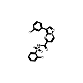 O=C(NS(=O)(=O)c1ccccc1Cl)c1ccn2ncc(-c3cccc(Cl)c3)c2n1